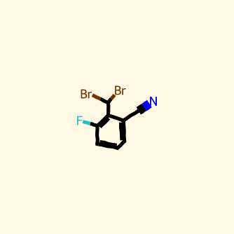 N#Cc1cccc(F)c1C(Br)Br